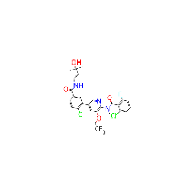 CN(C(=O)c1c(F)cccc1Cl)c1ncc(-c2cc(C(=O)NCCC(C)(C)O)ccc2Cl)cc1OCC(F)(F)F